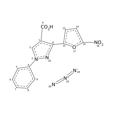 O=C(O)c1cn(-c2ccccc2)nc1-c1ccc([N+](=O)[O-])o1.[N-]=[N+]=[N-]